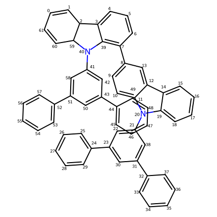 C1=CC2c3cccc(-c4ccc5c(c4)c4ccccc4n5-c4cc(-c5ccccc5)cc(-c5ccccc5)c4)c3N(c3cc(-c4ccccc4)cc(-c4ccccc4)c3)C2C=C1